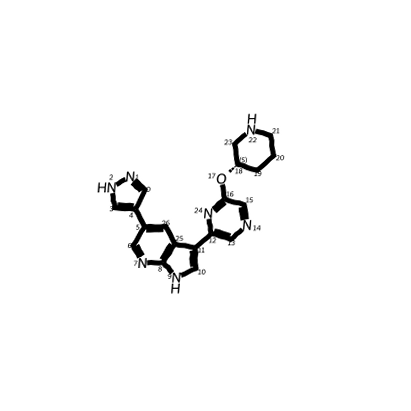 c1n[nH]cc1-c1cnc2[nH]cc(-c3cncc(O[C@H]4CCCNC4)n3)c2c1